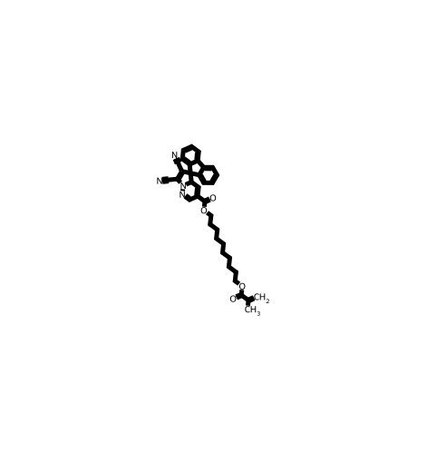 C=C(C)C(=O)OCCCCCCCCCCOC(=O)C1=CC2N(N=C1)C(C#N)=C(C#N)C21c2ccccc2-c2ccccc21